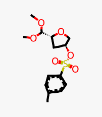 COC(OC)[C@H]1C[C@H](OS(=O)(=O)c2ccc(C)cc2)CO1